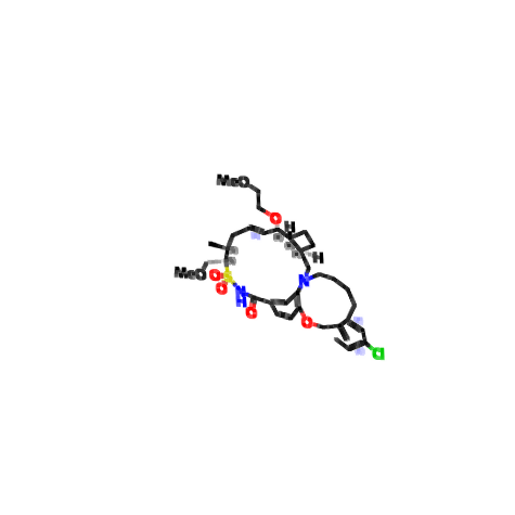 C=C1COc2ccc3cc2N(CCCC/C1=C/C(Cl)=C\C)C[C@@H]1CC[C@H]1[C@@H](OCCOC)/C=C/C[C@H](C)[C@@H](COC)S(=O)(=O)NC3=O